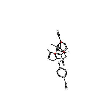 [CH2]=[Zr]([O]c1ccc(C#N)cc1)([O]c1ccc(C#N)cc1)([C]1=CC(C)=CC1)[C]1=C(C)C(C)=C(C)C1C